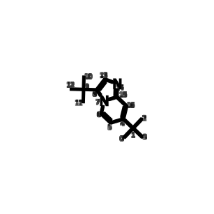 CC(C)(C)c1ccn2c(C(C)(C)C)cnc2c1